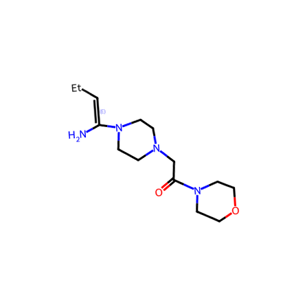 CC/C=C(\N)N1CCN(CC(=O)N2CCOCC2)CC1